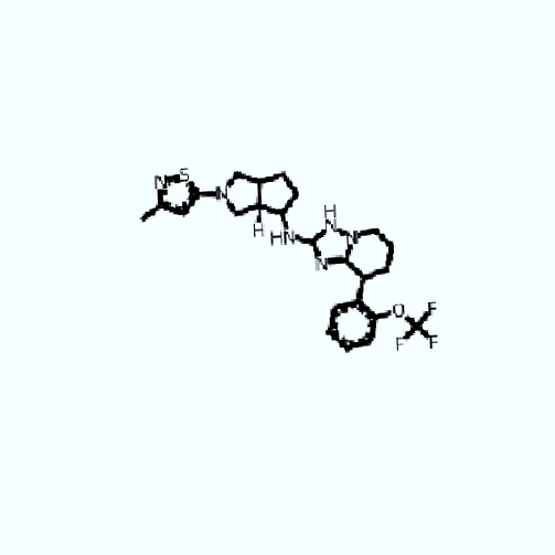 Cc1cc(N2CC3CC[C@@H](NC4N=C5C(c6ccccc6OC(F)(F)F)CCCN5N4)[C@@H]3C2)sn1